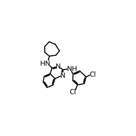 Clc1cc(Cl)cc(Nc2nc(NC3CCCCCC3)c3ccccc3n2)c1